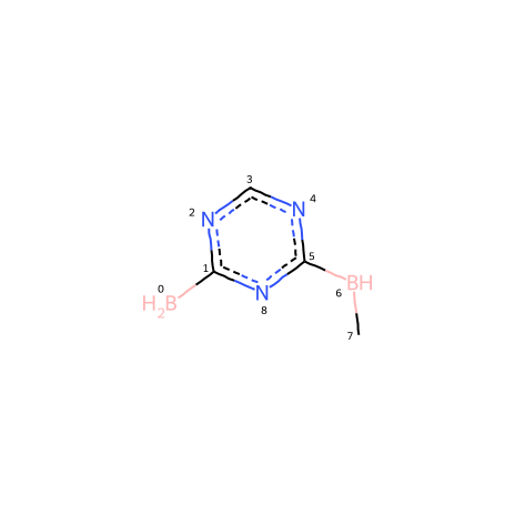 Bc1ncnc(BC)n1